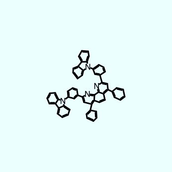 c1ccc(-c2cc(-c3cccc(-n4c5ccccc5c5ccccc54)c3)nc3c2ccc2c(-c4ccccc4)cc(-c4cccc(-n5c6ccccc6c6ccccc65)c4)nc23)cc1